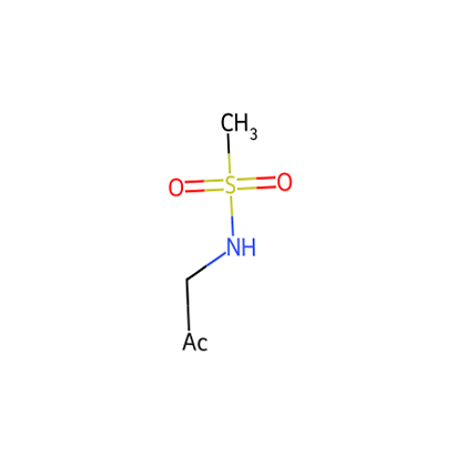 CC(=O)CNS(C)(=O)=O